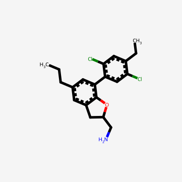 CCCc1cc2c(c(-c3cc(Cl)c(CC)cc3Cl)c1)OC(CN)C2